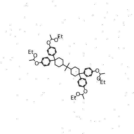 CCOC(C)Oc1ccc(C2(c3ccc(OC(C)OCC)cc3)CCC(C(C)(C)C3CCC(c4ccc(OC(C)OCC)cc4)(c4ccc(OC(C)OCC)cc4)CC3)CC2)cc1